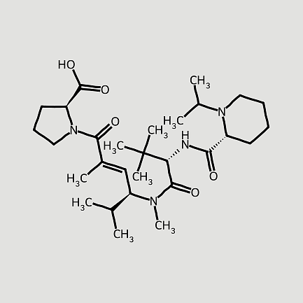 C/C(=C\[C@H](C(C)C)N(C)C(=O)[C@@H](NC(=O)[C@H]1CCCCN1C(C)C)C(C)(C)C)C(=O)N1CCC[C@H]1C(=O)O